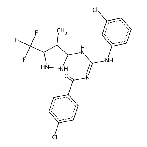 CC1C(N/C(=N\C(=O)c2ccc(Cl)cc2)Nc2cccc(Cl)c2)NNC1C(F)(F)F